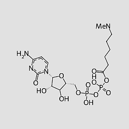 CNCCCCCC(=O)OP(=O)(O)OP(=O)(O)OC[C@H]1O[C@@H](n2ccc(N)nc2=O)[C@@H](O)C1O